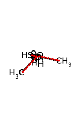 CCCCCCCCCCCCCCCCCNC(=O)OCC(CNC(=O)CCS)OC(=O)NCCCCCCCCCCCCCCCCC